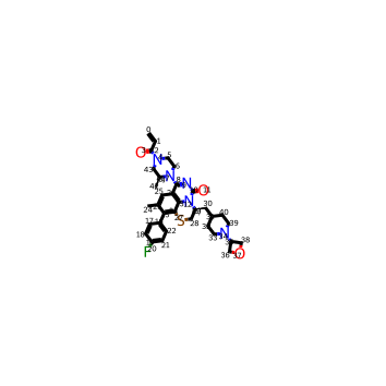 C=CC(=O)N1CCN(c2nc(=O)n3c4c(c(-c5ccc(F)cc5)c(C)cc24)SC[C@@H]3CC2CCN(C3COC3)CC2)[C@@H](C)C1